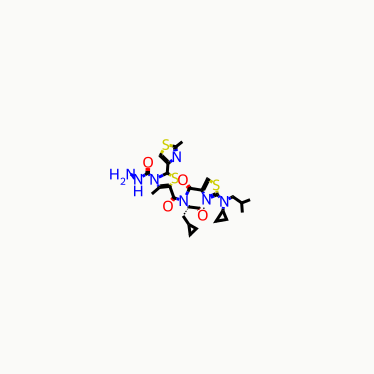 CC1=C(C(=O)N(C(=O)c2csc(N(CC(C)C)C3CC3)n2)[C@H]([C]=O)CC2CC2)SC(c2csc(C)n2)N1C(=O)NN